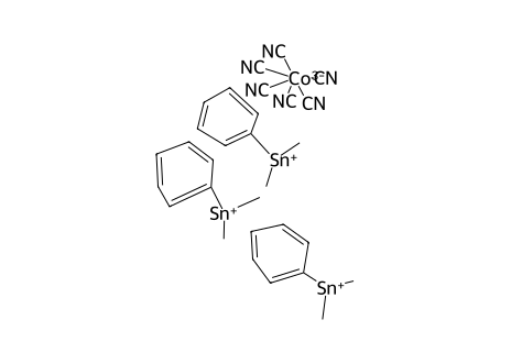 N#[C][Co-3]([C]#N)([C]#N)([C]#N)([C]#N)[C]#N.[CH3][Sn+]([CH3])[c]1ccccc1.[CH3][Sn+]([CH3])[c]1ccccc1.[CH3][Sn+]([CH3])[c]1ccccc1